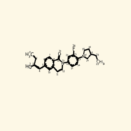 CC/C(O)=C\c1ccc2c(c1)CCN(c1ccc(N3CCC(CC)C3)c(F)c1)C2=O